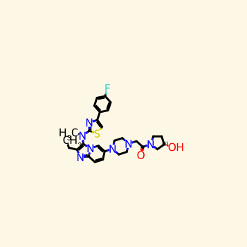 CCc1nc2ccc(N3CCN(CC(=O)N4CC[C@H](O)C4)CC3)cn2c1N(C)c1nc(-c2ccc(F)cc2)cs1